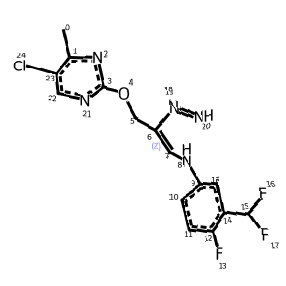 Cc1nc(OC/C(=C/Nc2ccc(F)c(C(F)F)c2)N=N)ncc1Cl